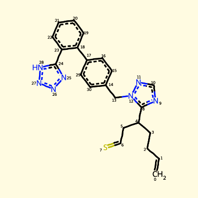 C=CCCC(CC=S)c1ncnn1Cc1ccc(-c2ccccc2-c2nnn[nH]2)cc1